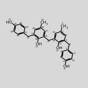 Cc1cc(Cc2ccc(O)cc2)c(O)c(Cc2cc(C)cc(Cc3ccc(O)cc3)c2O)c1